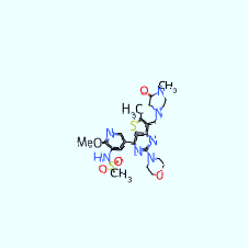 COc1ncc(-c2nc(N3CCOCC3)nc3c(CN4CCN(C)C(=O)C4)c(C)sc23)cc1NS(C)(=O)=O